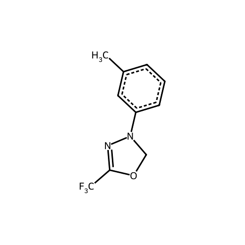 Cc1cccc(N2COC(C(F)(F)F)=N2)c1